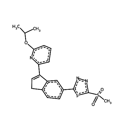 CC(C)Oc1cccc(C2=CCc3ccc(-c4nnc(S(C)(=O)=O)s4)cc32)n1